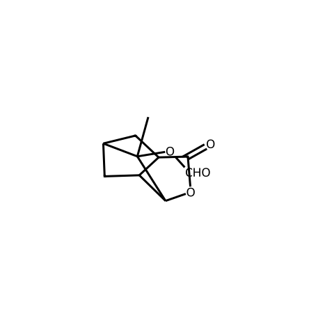 CC1(OC=O)C2CC3C(=O)OC1C3C2